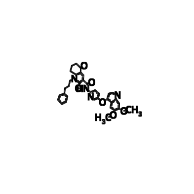 COc1cc2nccc(Oc3ccc(NC(=O)c4cc5c(n(CCCc6ccccc6)c4=O)CCCC5=O)nc3)c2cc1OC